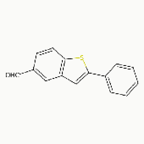 O=Cc1ccc2sc(-c3ccccc3)cc2c1